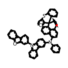 c1ccc(N(c2ccc3c(c2)c2ccccc2n3-c2ccc3c(c2)oc2ccccc23)c2ccc3c4c(cccc24)C2(c4ccccc4Sc4ccccc42)c2ccccc2-3)cc1